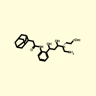 CCCCCCCCCCCC[C@H](CN)C(O)CC(O)c1ccccc1NC(=O)CC1C2CC3CC(C2)CC1C3